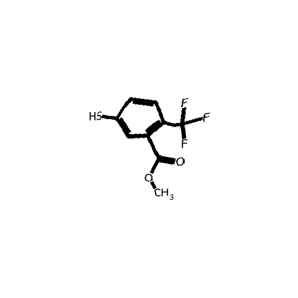 COC(=O)c1cc(S)ccc1C(F)(F)F